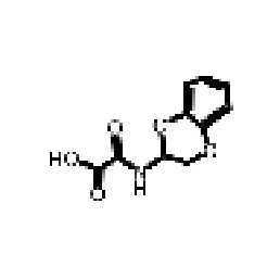 O=C(O)C(=O)NC1COc2ccccc2O1